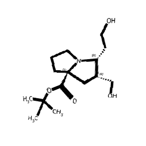 CC(C)(C)OC(=O)[C@@]12CCCN1[C@H](CCO)[C@H](CO)C2